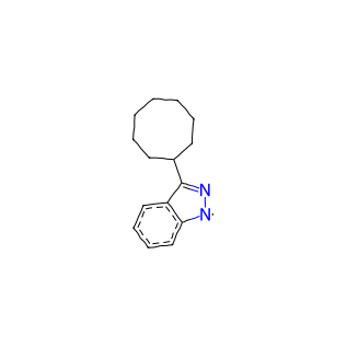 c1ccc2c(c1)[N]N=C2C1CCCCCCC1